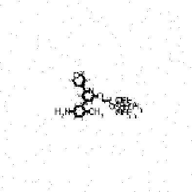 Cc1ccc(N)cc1-c1cc(OCCO[Si](C)(C)C(C)(C)C)nc(C2=CCOCC2)c1